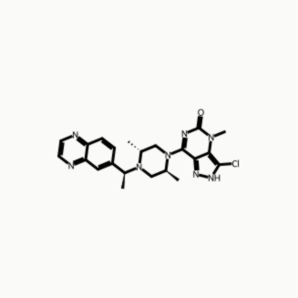 C[C@@H]1CN(c2nc(=O)n(C)c3c(Cl)[nH]nc23)[C@@H](C)CN1[C@@H](C)c1ccc2nccnc2c1